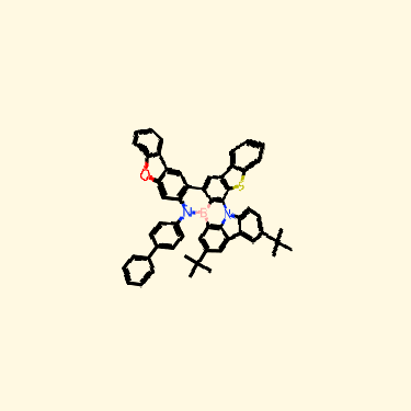 CC(C)(C)c1ccc2c(c1)c1cc(C(C)(C)C)cc3c1n2-c1c2c(cc4c1sc1ccccc14)-c1cc4c(cc1N(c1ccc(-c5ccccc5)cc1)B23)oc1ccccc14